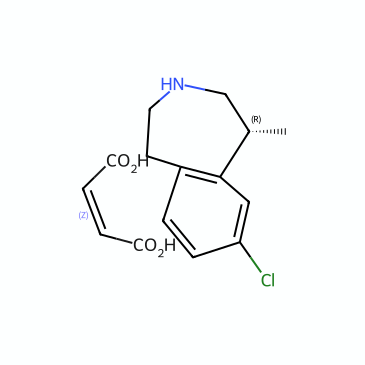 C[C@H]1CNCCc2ccc(Cl)cc21.O=C(O)/C=C\C(=O)O